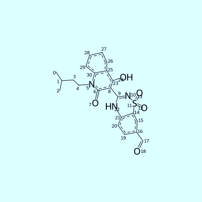 CC(C)CCn1c(=O)c(C2=NS(=O)(=O)c3cc(C=O)ccc3N2)c(O)c2ccccc21